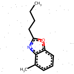 CCCCc1nc2c(C)cccc2o1